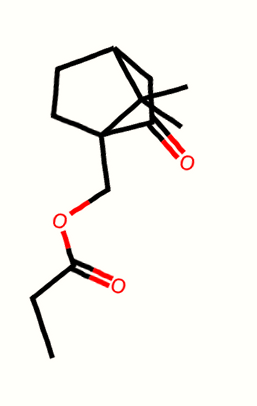 CCC(=O)OCC12CCC(CC1=O)C2(C)C